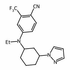 CCN(c1ccc(C#N)c(C(F)(F)F)c1)C1CCCC(n2cccn2)C1